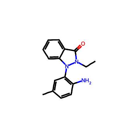 CCn1c(=O)c2ccccc2n1-c1cc(C)ccc1N